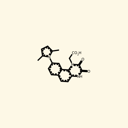 Cc1ccc(C)n1-c1ccc2ccc3[nH]c(=O)c(=O)n(CC(=O)O)c3c2c1